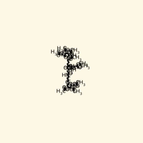 CC(=O)N[C@H]1[C@H](OCCCNC(=O)[C@H](CC(=O)NCCCO[C@H]2C[C@@H](OC(C)=O)[C@@H](OC(C)=O)[C@@H](COC(C)=O)O2)NC(=O)OC[C@H]2COC(C)(C)O2)O[C@H](COC(C)=O)[C@H](OC(C)=O)[C@@H]1OC(C)=O